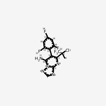 C[C@](Cl)(c1nc2ncnn2c(N)c1-c1c(F)cc(F)cc1F)C(F)(F)F